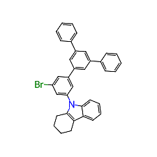 Brc1cc(-c2cc(-c3ccccc3)cc(-c3ccccc3)c2)cc(-n2c3c(c4ccccc42)CCCC3)c1